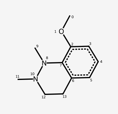 COc1cccc2c1N(C)N(C)CC2